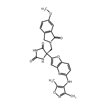 COc1ccc2c(c1)C(=O)N(C[C@@]1(c3cc4nc(Nc5c(C)noc5C)ccc4o3)NC(=O)NC1=O)C2